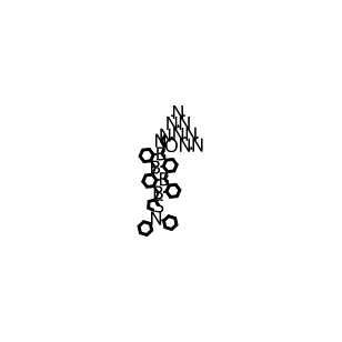 c1ccc(N(c2ccccc2)c2ccc(B3c4ccccc4B4c5cccc6c5B(c5ccccc5B6c5nnc(N(c6ncncn6)c6ncncn6)o5)c5cccc3c54)s2)cc1